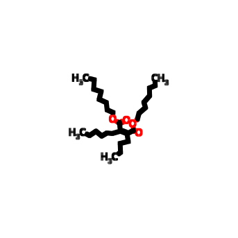 CCCCCCCCOC(=O)C(CCCC)=C(CCCCCC)C(=O)OCCCCCCCC